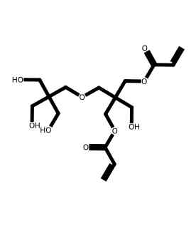 C=CC(=O)OCC(CO)(COCC(CO)(CO)CO)COC(=O)C=C